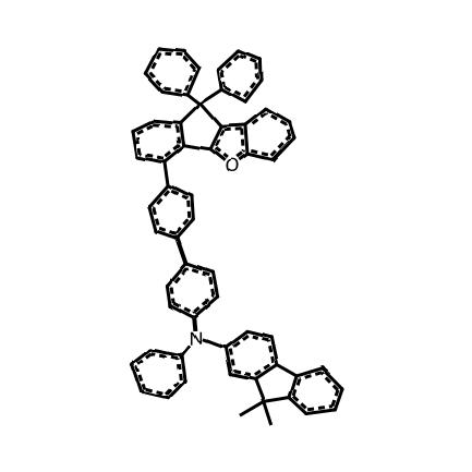 CC1(C)c2ccccc2-c2ccc(N(c3ccccc3)c3ccc(-c4ccc(-c5cccc6c5-c5oc7ccccc7c5C6(c5ccccc5)c5ccccc5)cc4)cc3)cc21